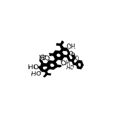 Cc1cc2c(c(O)c1-c1c(C)cc3c(C(C)C)c(O)c(O)c(C=O)c3c1O)/C(=C/c1c(O)c3ccccc3oc1=O)C(=O)C(O)=C2C(C)C